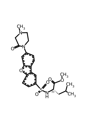 COC(=O)[C@H](CC(C)C)NS(=O)(=O)c1ccc2oc3cc(N4CCN(C)CC4=O)ccc3c2c1